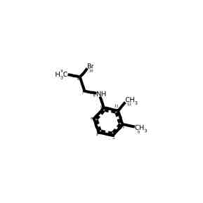 Cc1cccc(NCC(C)Br)c1C